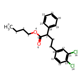 CCCCOC(=O)C(CCc1ccc(Cl)c(Cl)c1)c1ccccc1